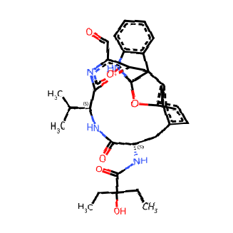 CCC(O)(CC)C(=O)N[C@H]1Cc2ccc3c(c2)C2(c4ccccc4NC2O3)c2oc(nc2C=O)[C@H](C(C)C)NC1=O